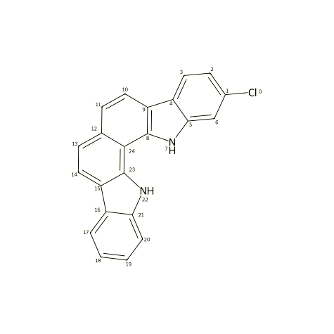 Clc1ccc2c(c1)[nH]c1c2ccc2ccc3c4ccccc4[nH]c3c21